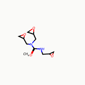 C.O=C(NCC1CO1)N(CC1CO1)CC1CO1